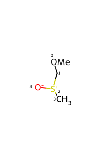 COC[S+](C)[O-]